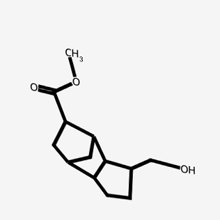 COC(=O)C1CC2CC1C1C(CO)CCC21